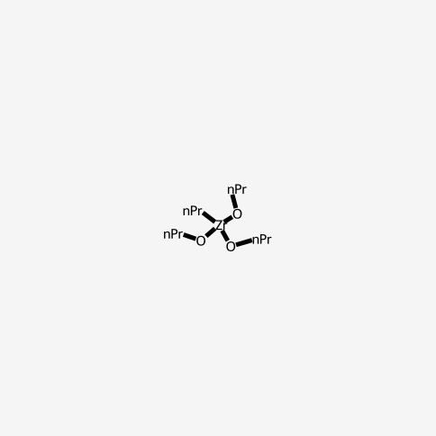 CCC[O][Zr]([CH2]CC)([O]CCC)[O]CCC